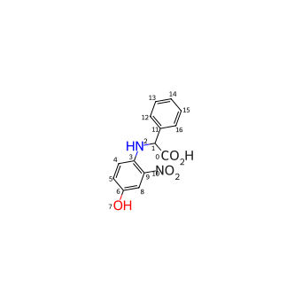 O=C(O)C(Nc1ccc(O)cc1[N+](=O)[O-])c1ccccc1